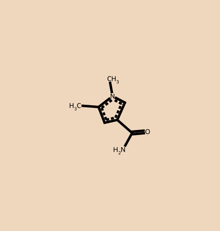 Cc1cc(C(N)=O)cn1C